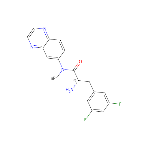 CCCN(C(=O)[C@@H](N)Cc1cc(F)cc(F)c1)c1ccc2nccnc2c1